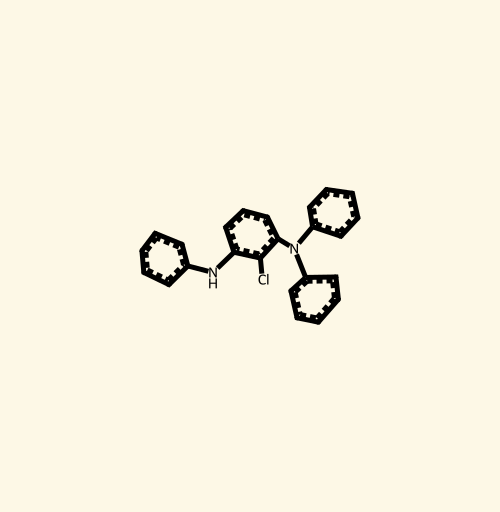 Clc1c(Nc2ccccc2)cccc1N(c1ccccc1)c1ccccc1